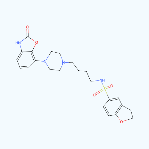 O=c1[nH]c2cccc(N3CCN(CCCCNS(=O)(=O)c4ccc5c(c4)CCO5)CC3)c2o1